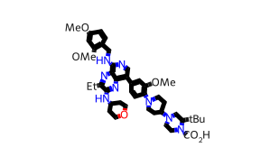 CCc1nc2c(NCc3ccc(OC)cc3OC)ncc(-c3ccc(N4CCC(N5CCN(C(=O)O)C(C(C)(C)C)C5)CC4)c(OC)c3)c2nc1NC1CCOCC1